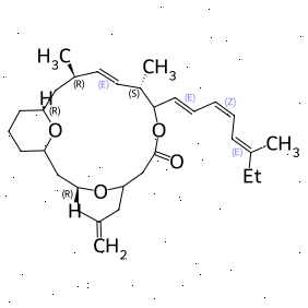 C=C1CC2CC(=O)OC(/C=C/C=C\C=C(/C)CC)[C@@H](C)/C=C/[C@H](C)C[C@H]3CCCC(C[C@@H](C1)O2)O3